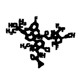 C#C[C@H]1CC(F)(F)c2c1c(C(F)F)nn2CC(=O)N[C@@H](Cc1cc(F)cc(F)c1)c1nc(C#CC(C)(C)O)ccc1-c1ccc(Cl)c2c(NC(=O)C3CC3)nn(C)c12